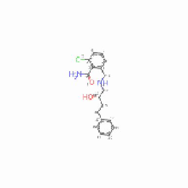 NC(=O)c1c(Cl)cccc1CNC[C@H](O)[CH]Cc1ccccc1